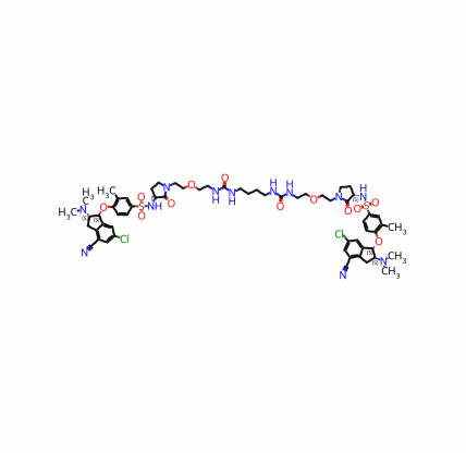 Cc1cc(S(=O)(=O)N[C@H]2CCN(CCOCCNC(=O)NCCCCNC(=O)NCCOCCN3CC[C@H](NS(=O)(=O)c4ccc(O[C@H]5c6cc(Cl)cc(C#N)c6C[C@@H]5N(C)C)c(C)c4)C3=O)C2=O)ccc1O[C@H]1c2cc(Cl)cc(C#N)c2C[C@@H]1N(C)C